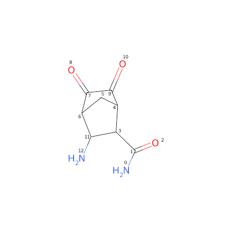 NC(=O)C1C2CC(C(=O)C2=O)C1N